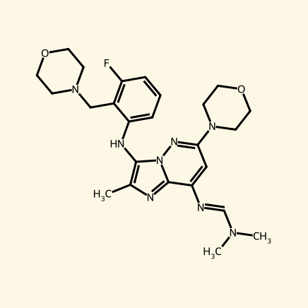 Cc1nc2c(/N=C/N(C)C)cc(N3CCOCC3)nn2c1Nc1cccc(F)c1CN1CCOCC1